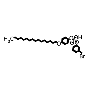 CCCCCCCCCCCCCCCCOc1ccc(OP(=O)(O)Oc2cccc(CBr)c2)cc1